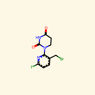 O=C1CCN(c2nc(F)ccc2CBr)C(=O)N1